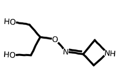 OCC(CO)ON=C1CNC1